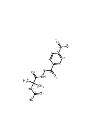 CC(C)(NC(=O)O)C(=O)NCC(=O)c1ccc([N+](=O)[O-])cc1